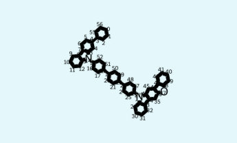 c1ccc(-c2ccc3c4ccccc4n(-c4ccc(-c5ccc(-c6ccc(-n7c8ccccc8c8cc9oc%10ccccc%10c9cc87)cc6)cc5)cc4)c3c2)cc1